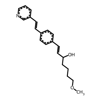 COCCCCC(O)C=Cc1ccc(C=Cc2cccnc2)cc1